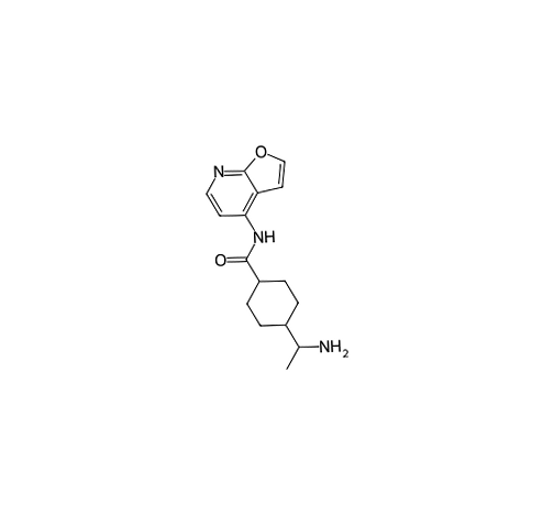 CC(N)C1CCC(C(=O)Nc2ccnc3occc23)CC1